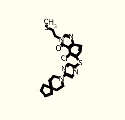 CSCCn1cnc2ccc(Sc3cnc(N4CCC5(CCCC5)CC4)cn3)c(Cl)c2c1=O